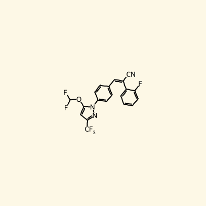 N#CC(=Cc1ccc(-n2nc(C(F)(F)F)cc2OC(F)F)cc1)c1ccccc1F